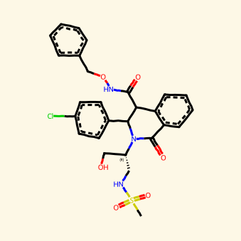 CS(=O)(=O)NC[C@H](CO)N1C(=O)c2ccccc2C(C(=O)NOCc2ccccc2)C1c1ccc(Cl)cc1